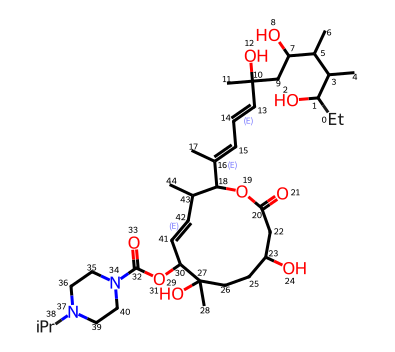 CCC(O)C(C)C(C)C(O)CC(C)(O)/C=C/C=C(\C)C1OC(=O)CC(O)CCC(C)(O)C(OC(=O)N2CCN(C(C)C)CC2)/C=C/C1C